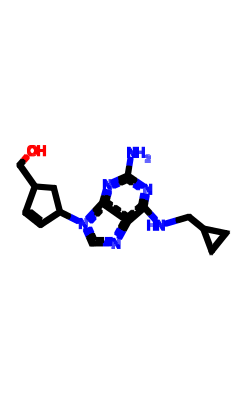 Nc1nc(NCC2CC2)c2ncn(C3C=CC(CO)C3)c2n1